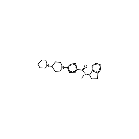 CN(C(=O)c1ccc(N2CCC(N3CCCCC3)CC2)cc1)C1CCc2ccccc21